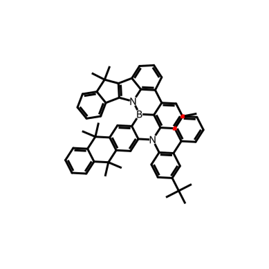 Cc1cc2c3c(c1)N(c1ccc(C(C)(C)C)cc1-c1ccccc1)c1cc4c(cc1B3n1c3c(c5cccc-2c51)C(C)(C)c1ccccc1-3)C(C)(C)c1ccccc1C4(C)C